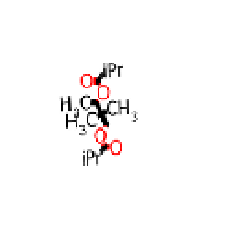 CC(C)C(=O)OCC(C)(C)C(C)OC(=O)C(C)C